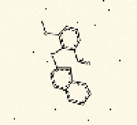 COc1cccc(C=O)c1Oc1ccc2ccccc2c1